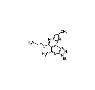 CCn1ncc2c1nc(C)c1c(OCCN)nc3cc(C)nn3c12